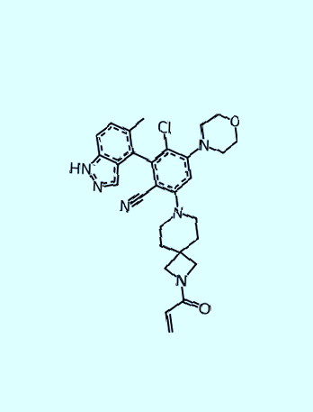 C=CC(=O)N1CC2(CCN(c3cc(N4CCOCC4)c(Cl)c(-c4c(C)ccc5[nH]ncc45)c3C#N)CC2)C1